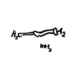 C=C=C.[InH3]